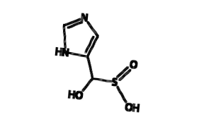 O=S(O)C(O)c1cnc[nH]1